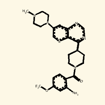 CN1CCN(c2cnc3c(C4CCN(C(=O)c5ccc(OC(F)(F)F)cc5N)CC4)ncnc3c2)CC1